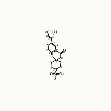 CS(=O)(=O)N1CCC2(CC1)CC(=O)c1cc(/C=C/C(=O)O)ccc1O2